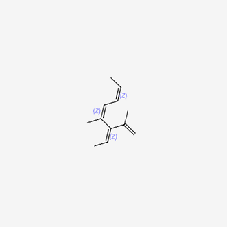 C=C(C)C(=C/C)/C(C)=C\C=C/C